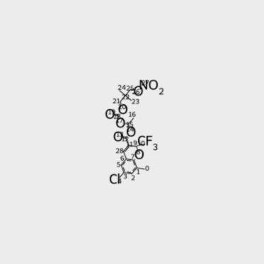 Cc1cc(Cl)cc2c1OC(C(F)(F)F)C(C(=O)OC(C)OC(=O)OCC(C)(C)CO[N+](=O)[O-])=C2